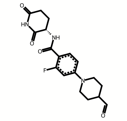 O=CC1CCN(c2ccc(C(=O)N[C@H]3CCC(=O)NC3=O)c(F)c2)CC1